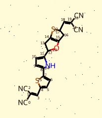 N#CC(C#N)=Cc1ccc(-c2ccc(C3CC4=C(CC(C=C(C#N)C#N)S4)O3)[nH]2)s1